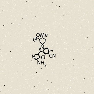 COC(=O)C1CCCC(n2cc(-c3cncc(N)c3Cl)c3cc(C#N)c(C)cc32)C1